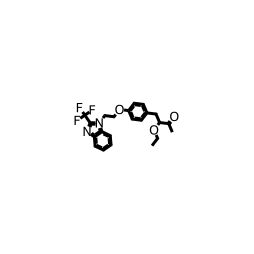 CCOC(Cc1ccc(OCCn2c(C(F)(F)F)nc3ccccc32)cc1)C(C)=O